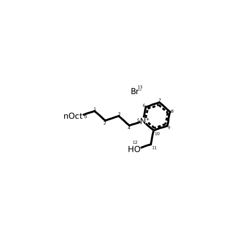 CCCCCCCCCCCC[n+]1ccccc1CO.[Br-]